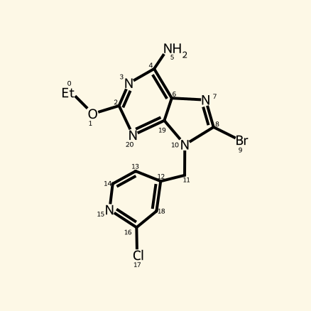 CCOc1nc(N)c2nc(Br)n(Cc3ccnc(Cl)c3)c2n1